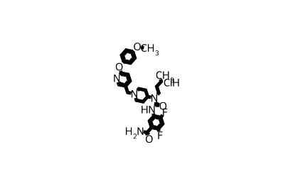 CCCCN(C(=O)Nc1cc(C(N)=O)c(F)cc1F)C1CCN(Cc2ccc(Oc3ccc(OC)cc3)nc2)CC1.Cl